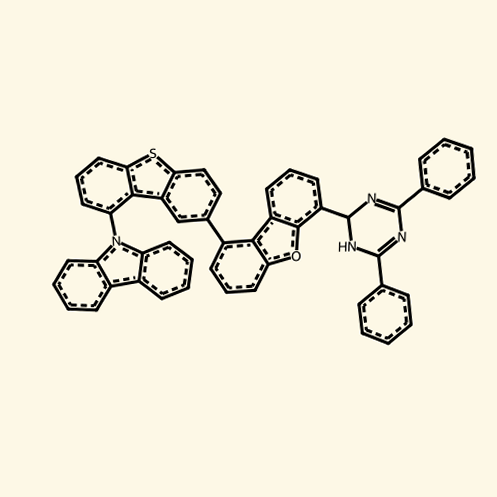 c1ccc(C2=NC(c3cccc4c3oc3cccc(-c5ccc6sc7cccc(-n8c9ccccc9c9ccccc98)c7c6c5)c34)NC(c3ccccc3)=N2)cc1